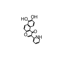 O=c1c(C2=CC=CCN2)coc2ccc3c(O)c(O)ccc3c12